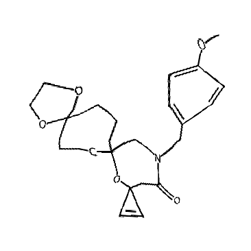 COc1ccc(CN2CC3(CCC4(CC3)OCCO4)OC3(C=C3)C2=O)cc1